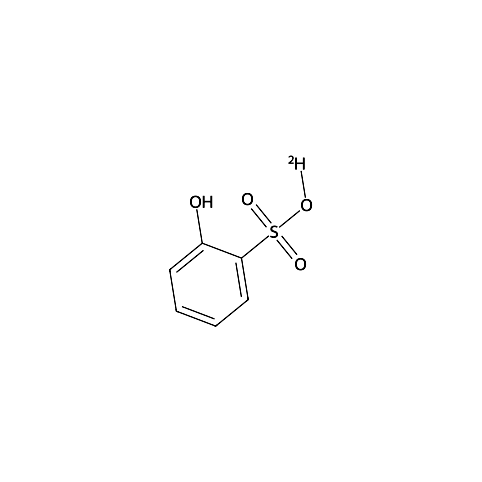 [2H]OS(=O)(=O)c1ccccc1O